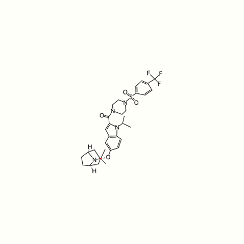 CC(C)N1[C@@H]2CC[C@H]1C[C@H](Oc1ccc3c(c1)cc(C(=O)N1CCN(S(=O)(=O)c4ccc(C(F)(F)F)cc4)CC1)n3C(C)C)C2